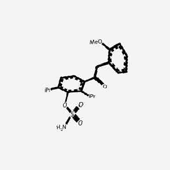 COc1ccccc1CC(=O)c1ccc(C(C)C)c(OS(N)(=O)=O)c1C(C)C